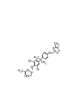 CC(=O)O[C@@H](CF)COc1ccc(C(C)(C)c2cc(Cl)c(OC[C@H](CCl)OC(C)=O)c(Cl)c2)cc1